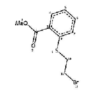 COC(=O)c1ccccc1SCCBr